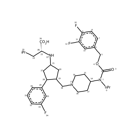 CCCN(C(=O)OCc1ccc(F)c(F)c1)C1CCN(CC2CC(N[C@H](CC(C)C)C(=O)O)CC2c2cccc(F)c2)CC1